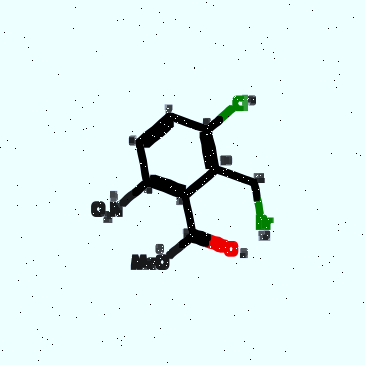 COC(=O)c1c([N+](=O)[O-])ccc(Cl)c1CBr